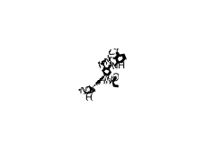 C=CC(=O)Nc1cc2c(Nc3cccc(Cl)c3F)ncnc2cc1C#C[C@@]12C[C@@H]1CN(C)C2